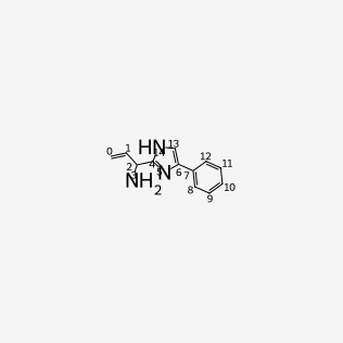 C=CC(N)c1nc(-c2ccccc2)c[nH]1